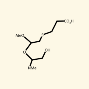 CNC(CO)OC(CSCCC(=O)O)OC